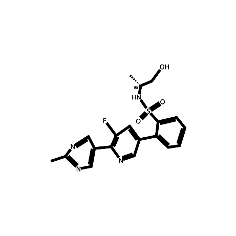 Cc1ncc(-c2ncc(-c3ccccc3S(=O)(=O)N[C@H](C)CO)cc2F)cn1